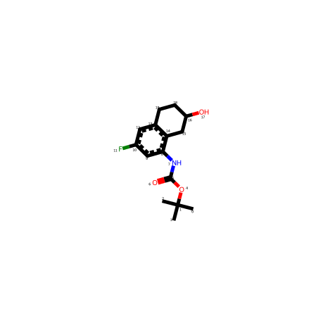 CC(C)(C)OC(=O)Nc1cc(F)cc2c1CC(O)CC2